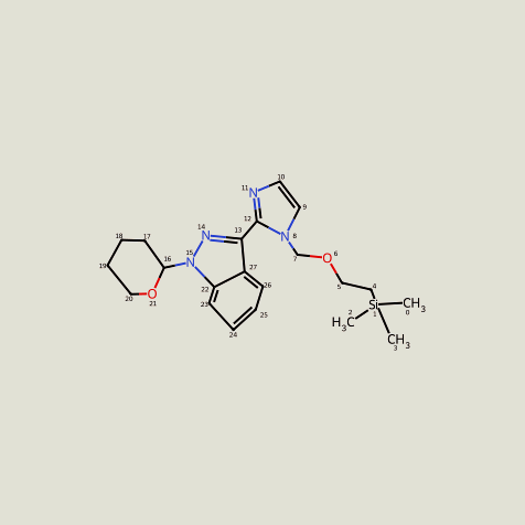 C[Si](C)(C)CCOCn1ccnc1-c1nn(C2CCCCO2)c2ccccc12